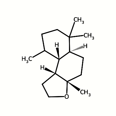 CC1CCC(C)(C)[C@H]2CC[C@]3(C)OCC[C@@H]3[C@H]12